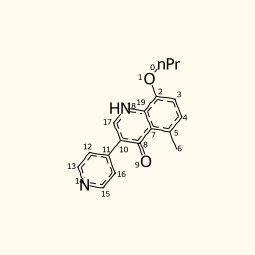 CCCOc1ccc(C)c2c(=O)c(-c3ccncc3)c[nH]c12